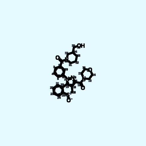 O=C(c1cccc(-n2nc(C(=O)N3CCOCC3)c3c2-c2ccccc2[S+]([O-])C3)c1)N1CCCC(CO)C1